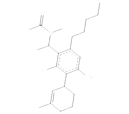 CCCCCc1cc(O)c(C2C=C(C)CCC2)c(O)c1C(C)N(C)C(C)=O